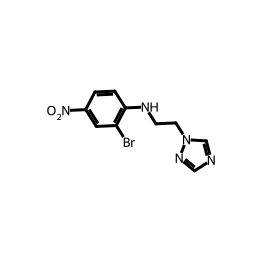 O=[N+]([O-])c1ccc(NCCn2cncn2)c(Br)c1